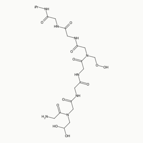 CC(C)NC(=O)CNC(=O)CNC(=O)CN(COO)C(=O)CNC(=O)CNC(=O)CN(CC(O)O)C(=O)CN